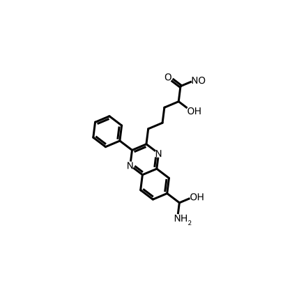 NC(O)c1ccc2nc(-c3ccccc3)c(CCCC(O)C(=O)N=O)nc2c1